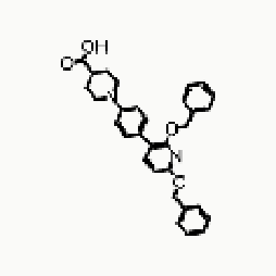 O=C(O)C1CCN(c2ccc(-c3ccc(OCc4ccccc4)nc3OCc3ccccc3)cc2)CC1